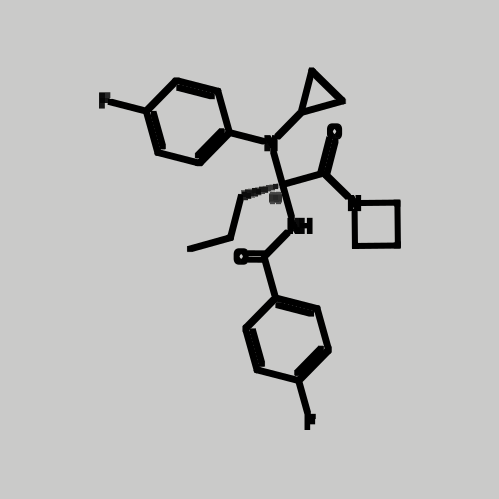 CCC[C@@](NC(=O)c1ccc(F)cc1)(C(=O)N1CCC1)N(c1ccc(F)cc1)C1CC1